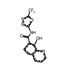 O=C(Nc1nnc(C(F)(F)F)s1)c1ccc2cccnc2c1O